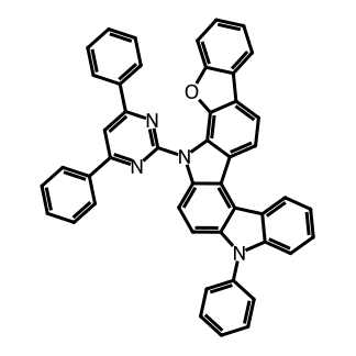 c1ccc(-c2cc(-c3ccccc3)nc(-n3c4ccc5c(c6ccccc6n5-c5ccccc5)c4c4ccc5c6ccccc6oc5c43)n2)cc1